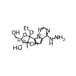 CCOC1(c2ccc3c(NN)ncnn23)O[C@H](CO)[C@@H](O)[C@@]1(C)O